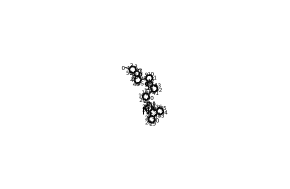 Cc1ccc2sc3c(-c4cccc5c4sc4c(-c6cccc(-c7cnc8c9ccccc9c9ccccc9c8n7)c6)cccc45)cccc3c2c1